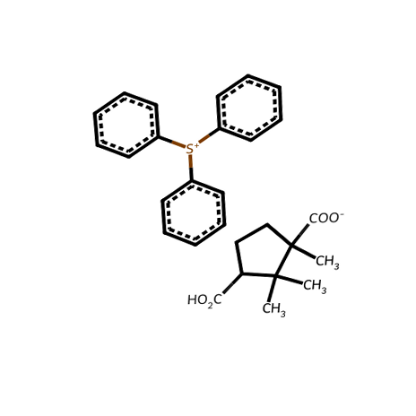 CC1(C(=O)[O-])CCC(C(=O)O)C1(C)C.c1ccc([S+](c2ccccc2)c2ccccc2)cc1